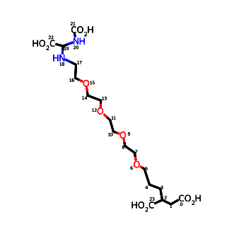 O=C(O)CC(CCCOCCOCCOCCOCCNC(NC(=O)O)C(=O)O)C(=O)O